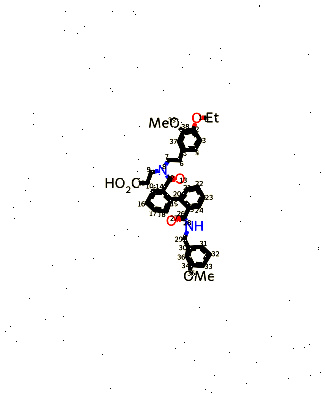 CCOc1ccc(CCN(CCC(=O)O)C(=O)c2ccccc2-c2ccccc2C(=O)NCc2cccc(OC)c2)cc1OC